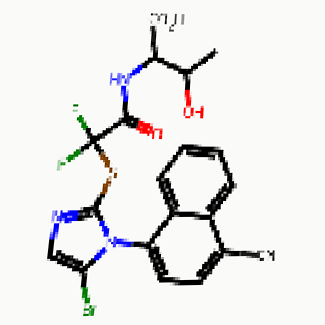 CC(O)C(NC(=O)C(F)(F)Sc1ncc(Br)n1-c1ccc(C#N)c2ccccc12)C(=O)O